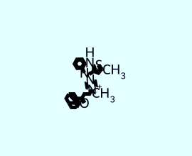 Cc1cc2c(s1)Nc1ccccc1N=C2N1CC[N+](C)(CCC(=O)C23CC4CC(CC(C4)C2)C3)CC1